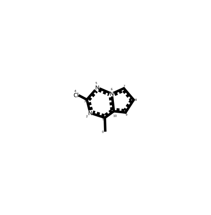 Cc1nc(Cl)nn2cccc12